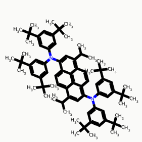 CC(C)c1cc(N(c2cc(C(C)(C)C)cc(C(C)(C)C)c2)c2cc(C(C)(C)C)cc(C(C)(C)C)c2)c2ccc3c(C(C)C)cc(N(c4cc(C(C)(C)C)cc(C(C)(C)C)c4)c4cc(C(C)(C)C)cc(C(C)(C)C)c4)c4ccc1c2c34